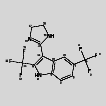 FC(F)(F)c1ccc2[nH]c(C(F)(F)F)c(C3=NCCN3)c2c1